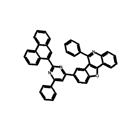 c1ccc(-c2cc(-c3ccc4oc5c6ccccc6nc(-c6ccccc6)c5c4c3)nc(-c3cc4ccccc4c4ccccc34)n2)cc1